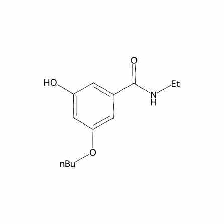 CCCCOc1cc(O)cc(C(=O)NCC)c1